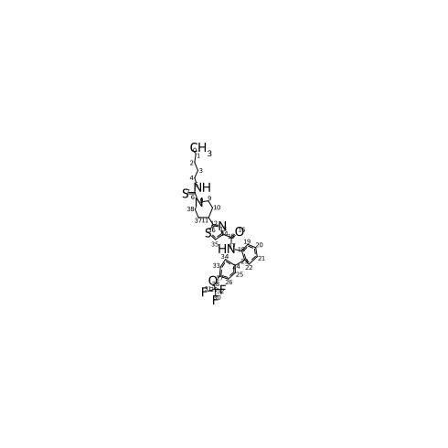 CCCCCNC(=S)N1CCC(c2nc(C(=O)Nc3ccccc3-c3ccc(OC(F)(F)F)cc3)cs2)CC1